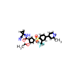 CCO[C@H]1C[C@@H](S(=O)(=O)c2ccc(-c3ccnc(C)c3)cc2C(F)(F)F)C[C@@H]1C(=O)NC1(C#N)CC1